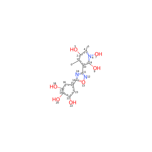 Cc1c(O)c(C)[n+](O)c(O)c1-c1noc(-c2cc(O)c(O)c(O)c2)n1